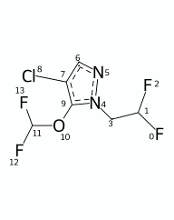 FC(F)Cn1n[c]c(Cl)c1OC(F)F